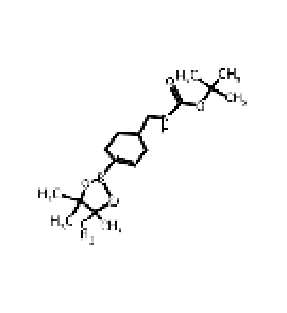 CC(C)(C)OC(=O)NCC1CC=C(B2OC(C)(C)C(C)(C)O2)CC1